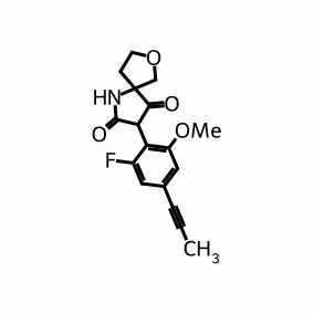 CC#Cc1cc(F)c(C2C(=O)NC3(CCOC3)C2=O)c(OC)c1